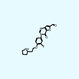 O=Cc1cc2ncn(-c3ccc(OCCC4CCCN4)c(F)c3)c(=O)c2s1